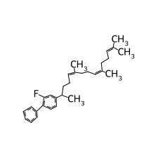 CC(C)=CCCC(C)=CCCC(C)=CCCC(C)c1ccc(-c2ccccc2)c(F)c1